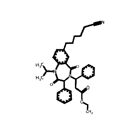 CCOC(=O)CC(c1ccccc1)N1C(=O)c2cc(CCCCCC#N)ccc2N(C(C)C)C(=O)C1c1ccccc1